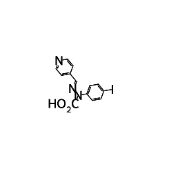 O=C(O)N(N=Cc1ccncc1)c1ccc(I)cc1